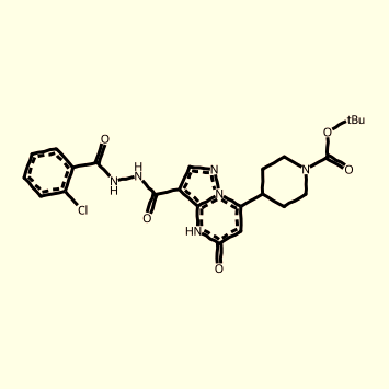 CC(C)(C)OC(=O)N1CCC(c2cc(=O)[nH]c3c(C(=O)NNC(=O)c4ccccc4Cl)cnn23)CC1